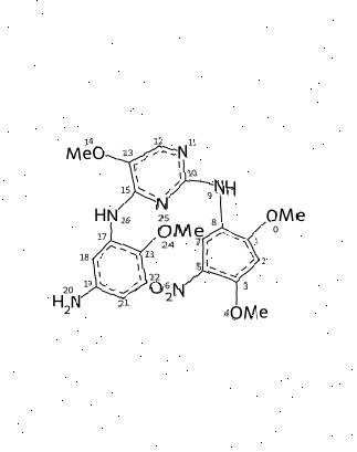 COc1cc(OC)c([N+](=O)[O-])cc1Nc1ncc(OC)c(Nc2cc(N)ccc2OC)n1